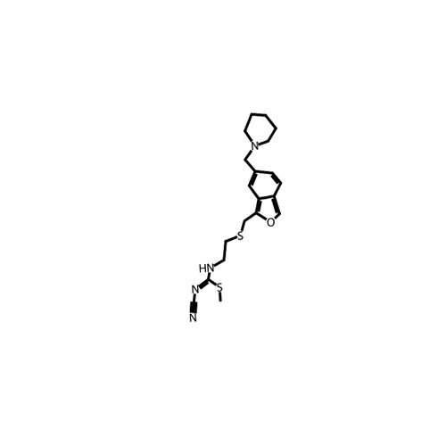 CSC(=NC#N)NCCSCc1occ2ccc(CN3CCCCC3)cc12